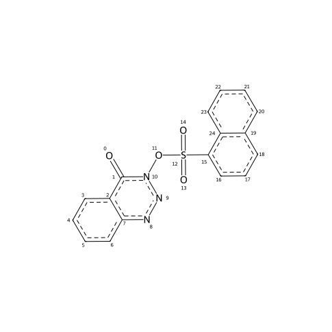 O=c1c2ccccc2nnn1OS(=O)(=O)c1cccc2ccccc12